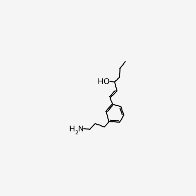 CCCC(O)C=Cc1cccc(CCCN)c1